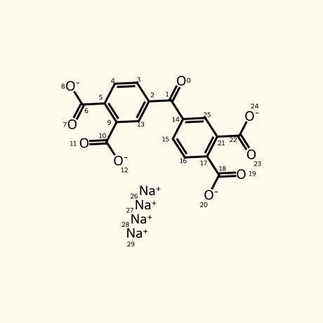 O=C(c1ccc(C(=O)[O-])c(C(=O)[O-])c1)c1ccc(C(=O)[O-])c(C(=O)[O-])c1.[Na+].[Na+].[Na+].[Na+]